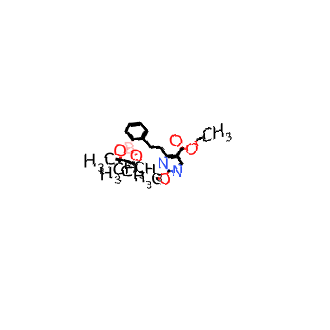 CCOC(=O)c1cnc(OC)nc1CCc1ccccc1B1OC(C)(C)C(C)(C)O1